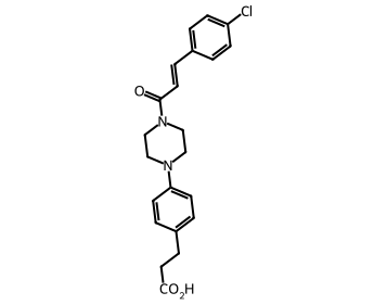 O=C(O)CCc1ccc(N2CCN(C(=O)C=Cc3ccc(Cl)cc3)CC2)cc1